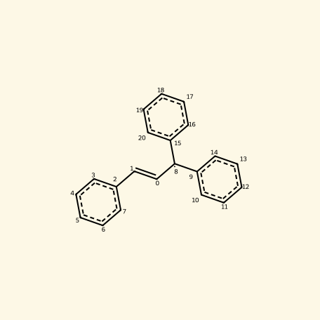 C(=Cc1ccccc1)[C](c1ccccc1)c1ccccc1